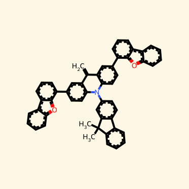 C=C1c2cc(-c3cccc4c3oc3ccccc34)ccc2N(c2ccc3c(c2)C(C)(C)c2ccccc2-3)c2ccc(-c3cccc4c3oc3ccccc34)cc21